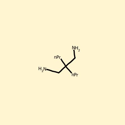 CCCC(CN)(CN)CCC